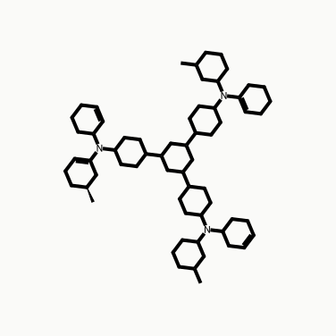 CC1CCCC(N(C2=CCCCC2)C2CCC(C3CC(C4CCC(N(C5=CCC[C@H](C)C5)C5C=CCCC5)CC4)CC(C4CCC(N(C5CC=CCC5)C5CCCC(C)C5)CC4)C3)CC2)C1